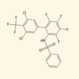 O=S(=O)(Nc1c(F)c(F)c(F)c(F)c1-c1cc(Cl)c(C(F)(F)F)c(Cl)c1)c1ccccc1